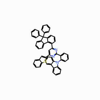 c1ccc(C2(c3ccccc3)c3ccccc3-c3c(-c4cc(-c5cc6ccccc6s5)nc(-c5ccccc5-n5c6ccccc6c6ccccc65)n4)cccc32)cc1